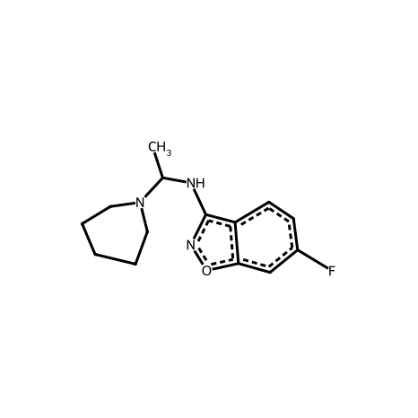 CC(Nc1noc2cc(F)ccc12)N1CCCCC1